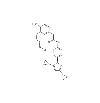 Cc1ccc(CC(=O)Nc2ccc(-n3nc(C4CC4)cc3C3CC3)cc2)cc1/C=C\C=NCl